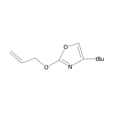 C=CCOc1nc(C(C)(C)C)co1